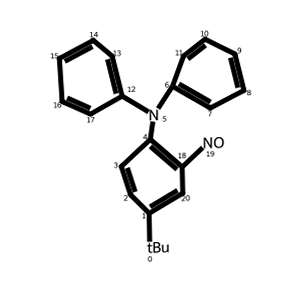 CC(C)(C)c1ccc(N(c2ccccc2)c2ccccc2)c(N=O)c1